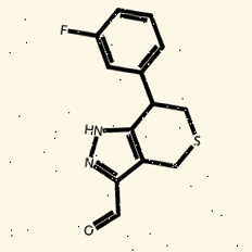 O=Cc1n[nH]c2c1CSCC2c1cccc(F)c1